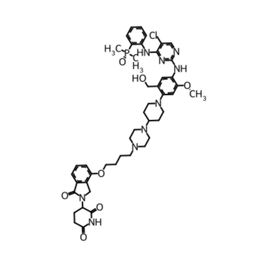 COc1cc(N2CCC(N3CCN(CCCCOc4cccc5c4CN(C4CCC(=O)NC4=O)C5=O)CC3)CC2)c(CO)cc1Nc1ncc(Cl)c(Nc2ccccc2P(C)(C)=O)n1